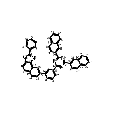 c1ccc(-c2nc3c(ccc4ccc(-c5cccc(-c6nc(-c7ccc8ccccc8c7)nc(-c7ccc8ccccc8c7)n6)c5)cc43)o2)cc1